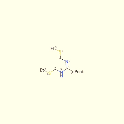 CCCCCC(=NCSCC)NCSCC